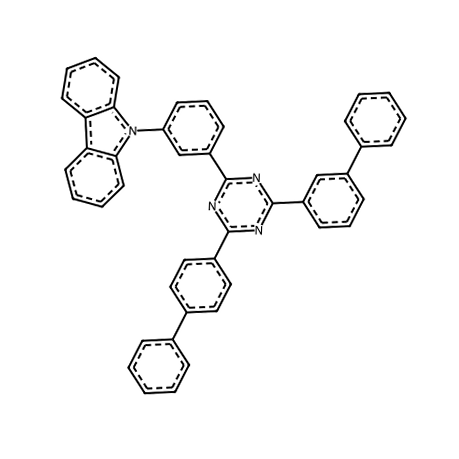 c1ccc(-c2ccc(-c3nc(-c4cccc(-c5ccccc5)c4)nc(-c4cccc(-n5c6ccccc6c6ccccc65)c4)n3)cc2)cc1